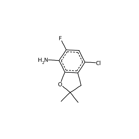 CC1(C)Cc2c(Cl)cc(F)c(N)c2O1